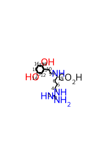 N=C(N)NCCC[C@H](NCCc1cc(O)ccc1O)C(=O)O